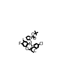 CC(C)(C)OC(=O)N1CCC[C@H]1CN1C[C@@]2(CCCc3cc(Cl)ccc32)COc2cc(F)c(I)cc21